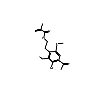 C=C(C)C(=O)NCCc1c(OC)cc(C(C)=O)c(N)c1OC